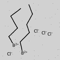 [B+2]CCCC.[B+2]CCCCC.[Cl-].[Cl-].[Cl-].[Cl-]